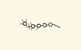 CCCCCC1CCC(c2cnc(-c3ccc(-c4cc(F)c(C(F)(F)Oc5cc(F)c(F)c(F)c5)c(F)c4)c(F)c3)nc2)CC1